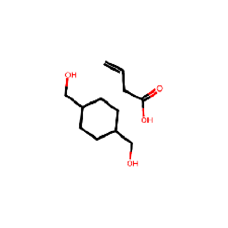 C=CCC(=O)O.OCC1CCC(CO)CC1